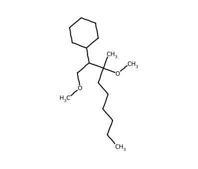 CCCCCCC(C)(OC)C(COC)C1CCCCC1